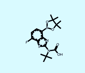 CC(C)(C)N(C(=O)O)c1nc2c(B3OC(C)(C)C(C)(C)O3)ccc(F)c2s1